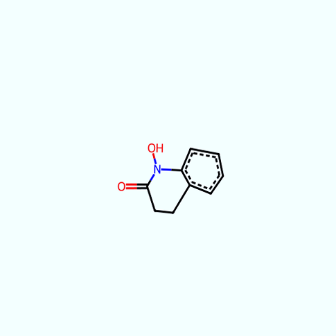 O=C1CCc2ccccc2N1O